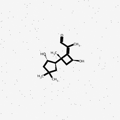 C/C(C=O)=C1\[C@@H](O)C[C@]1(C)[C@H]1CC(C)(C)C[C@@H]1O